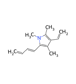 C=C/C=C/c1c(C)c(C=C)c(C)n1C